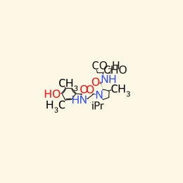 Cc1cc(C(=O)N[C@H](C(=O)N2CC[C@H](C)[C@H]2C(=O)N[C@H](C=O)CC(=O)O)C(C)C)cc(C)c1O